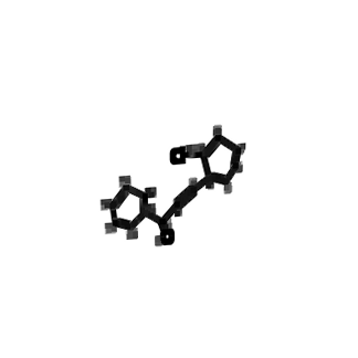 O=C(C#Cc1ccccc1Cl)c1ccccc1